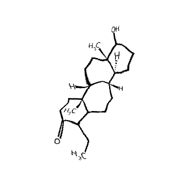 CCC1C(=O)CC[C@@]2(C)C1CC[C@@H]1[C@H]2CC[C@]2(C)C(O)CC[C@@H]12